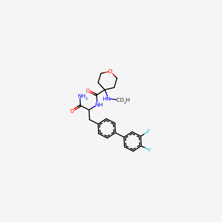 NC(=O)C(Cc1ccc(-c2ccc(F)c(F)c2)cc1)NC(=O)C1(NC(=O)O)CCOCC1